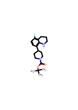 CC(C)(C)OC(=O)N1CCC(c2ccc(F)c3c2NCCC3)CC1